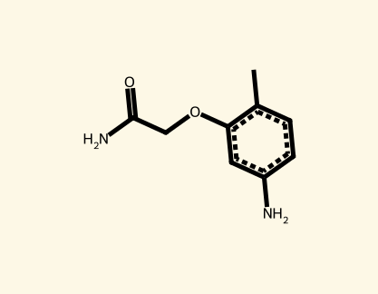 Cc1ccc(N)cc1OCC(N)=O